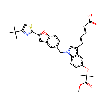 COC(=O)C(C)(C)Oc1ccc2c(c1)c(/C=C/C=C/C(=O)O)cn2Cc1ccc2oc(-c3nc(C(C)(C)C)cs3)cc2c1